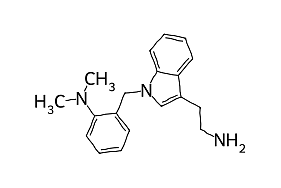 CN(C)c1ccccc1Cn1cc(CCN)c2ccccc21